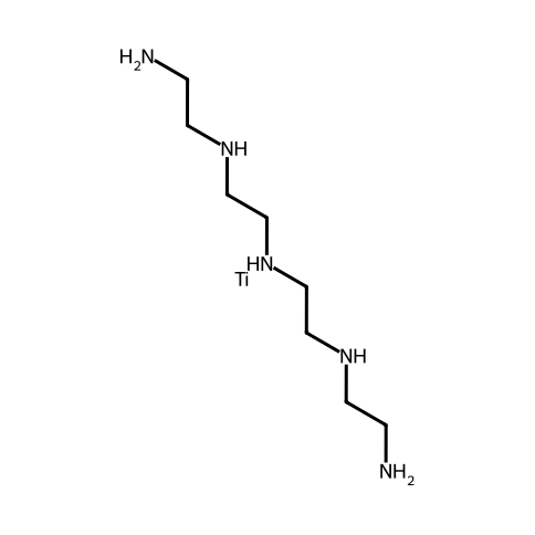 NCCNCCNCCNCCN.[Ti]